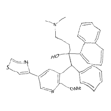 COc1ncc(-c2cscn2)cc1C(c1ccccc1)C(O)(CCN(C)C)c1cccc2ccccc12